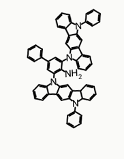 Nc1c(-n2c3ccccc3c3cc4c(cc32)C2C=CC=CC2N4c2ccccc2)cc(-c2ccccc2)cc1-n1c2ccccc2c2cc3c(cc21)c1ccccc1n3-c1ccccc1